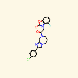 O=C(Cn1c(=O)oc2cccc(F)c21)N1CCCn2cc(-c3ccc(Cl)cc3)nc2C1